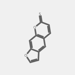 S=c1ccc2[c]c3ccoc3cc2o1